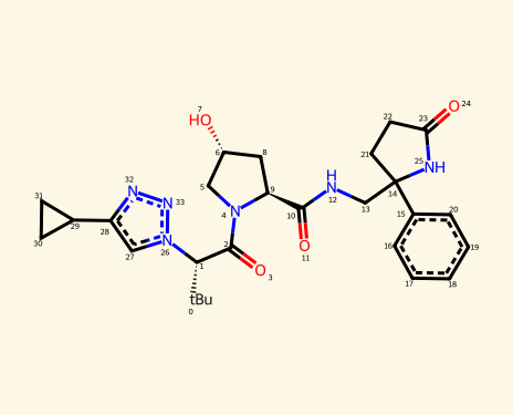 CC(C)(C)[C@@H](C(=O)N1C[C@H](O)C[C@H]1C(=O)NCC1(c2ccccc2)CCC(=O)N1)n1cc(C2CC2)nn1